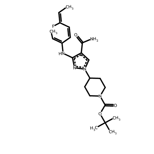 C\C=C(F)/C=C\C(=C/C)Nc1nn(C2CCN(C(=O)OC(C)(C)C)CC2)cc1C(N)=O